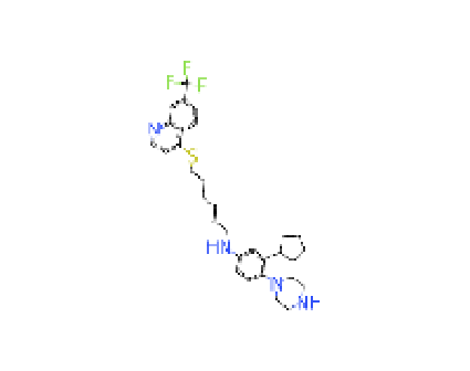 FC(F)(F)c1ccc2c(SCCCCCCNc3ccc(N4CCNCC4)c(C4CCCC4)c3)ccnc2c1